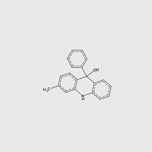 Cc1ccc2c(c1)Nc1ccccc1C2(O)c1ccccc1